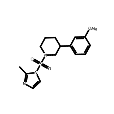 COc1cccc(C2CCCN(S(=O)(=O)n3ccnc3C)C2)c1